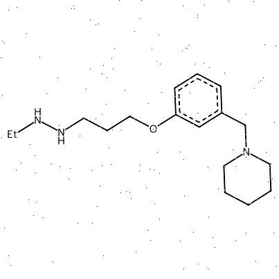 CCNNCCCOc1cccc(CN2CCCCC2)c1